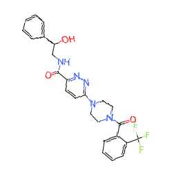 O=C(NCC(O)c1ccccc1)c1ccc(N2CCN(C(=O)c3ccccc3C(F)(F)F)CC2)nn1